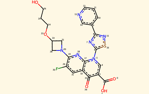 O=C(O)c1cn(-c2nc(-c3cccnc3)ns2)c2nc(N3CC(OCCCO)C3)c(F)cc2c1=O